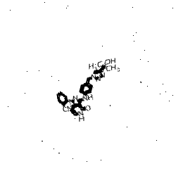 CC(C)(O)c1cn(Cc2ccc(Nc3nn([C@H]4CCCC[C@@H]4C#N)c4cc[nH]c(=O)c34)cc2)nn1